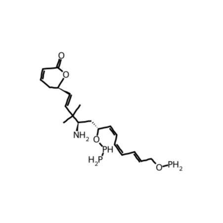 CC(C)(/C=C/[C@H]1CC=CC(=O)O1)[C@H](N)C[C@H](\C=C/C=C\C=C\COP)OPP